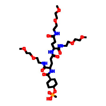 COCCOCCNC(=O)CCC(NC(=O)CCC(NC(=O)[C@H]1CC[C@@H](OP(C)(=O)O)CC1)C(=O)NCCOCCOC)C(=O)NCCOCCOC